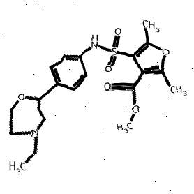 CCN1CCOC(c2ccc(NS(=O)(=O)c3c(C)oc(C)c3C(=O)OC)cc2)C1